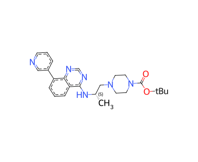 C[C@@H](CN1CCN(C(=O)OC(C)(C)C)CC1)Nc1ncnc2c(-c3cccnc3)cccc12